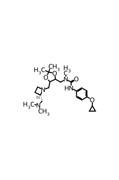 CN(C)C[C@@H]1CCN1CC1OC(C)(C)OC1CN(C)C(=O)Nc1ccc(OC2CC2)cc1